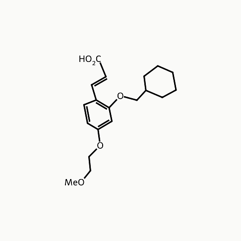 COCCOc1ccc(C=CC(=O)O)c(OCC2CCCCC2)c1